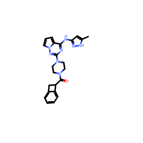 Cc1cc(Nc2nc(N3CCN(C(=O)C4Cc5ccccc54)CC3)nn3cccc23)n[nH]1